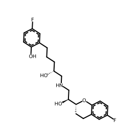 Oc1ccc(F)cc1CCC[C@@H](O)CNC[C@H](O)[C@H]1CCc2cc(F)ccc2O1